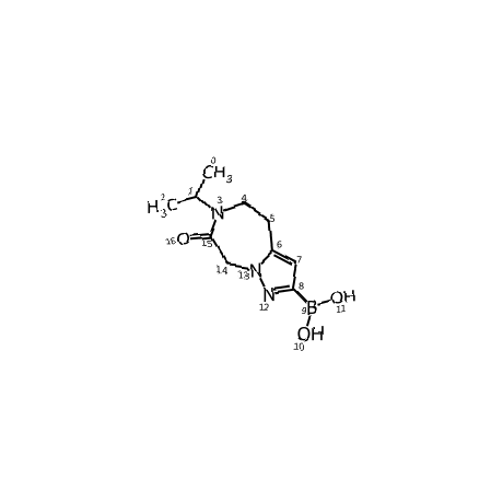 CC(C)N1CCc2cc(B(O)O)nn2CC1=O